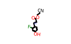 N#CCCOC(=O)/C=C/c1ccc(O)cc1F